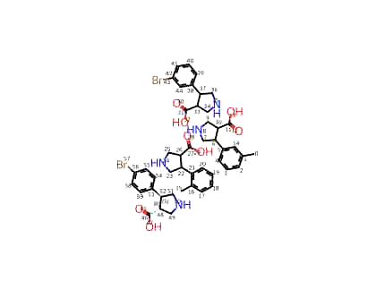 Cc1cccc(C2CNCC2C(=O)O)c1.Cc1ccccc1C1CNCC1C(=O)O.O=C(O)C1CNCC1c1cccc(Br)c1.O=C(O)[C@H]1CNC[C@@H]1c1ccc(Br)cc1